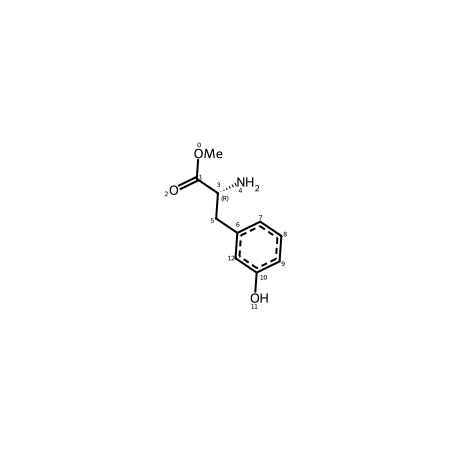 COC(=O)[C@H](N)Cc1cccc(O)c1